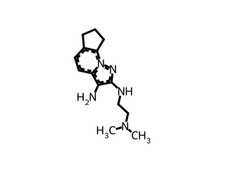 CN(C)CCNc1nn2c3c(ccc2c1N)CCC3